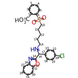 O=C(O)c1ccccc1S(=O)(=O)CCCCCNC(c1ccc(Cl)cc1)c1nc2ccccc2o1